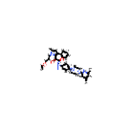 CCOCCCn1c(C)cc(-c2ccccc2)c1C(=O)C(=O)Nc1ccc(N2CCN(c3cc(C)cc(C)n3)CC2)cc1